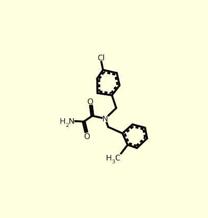 Cc1ccccc1CN(Cc1ccc(Cl)cc1)C(=O)C(N)=O